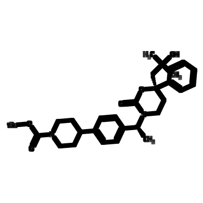 C[C@@H](c1ccc(C2CCN(C(=O)OC(C)(C)C)CC2)cc1)N1CC[C@](CC(C)(C)O)(c2ccccc2)OC1=O